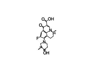 C[C@H]1CN(c2c(F)cc3c(=O)c(C(=O)O)cn4c3c2CC[C@@H]4C)CC[C@H]1O